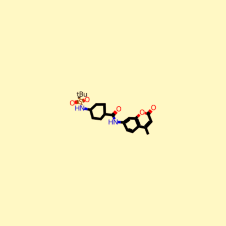 Cc1cc(=O)oc2cc(NC(=O)C3CCC(NS(=O)(=O)C(C)(C)C)CC3)ccc12